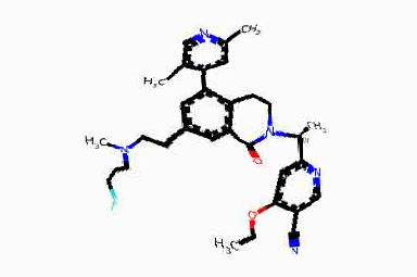 CCOc1cc([C@H](C)N2CCc3c(cc(CCN(C)CCF)cc3-c3cc(C)ncc3C)C2=O)ncc1C#N